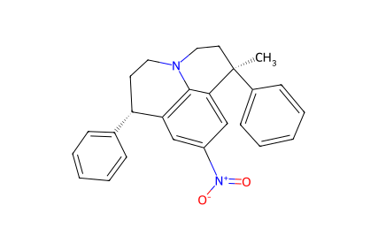 C[C@@]1(c2ccccc2)CCN2CC[C@@H](c3ccccc3)c3cc([N+](=O)[O-])cc1c32